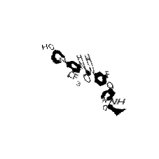 O=C(Nc1cc(N2CCC(O)CC2)cc(C(F)(F)F)c1)Nc1ccc(Oc2ccnc(NC(=O)C3CC3)c2)c(F)c1